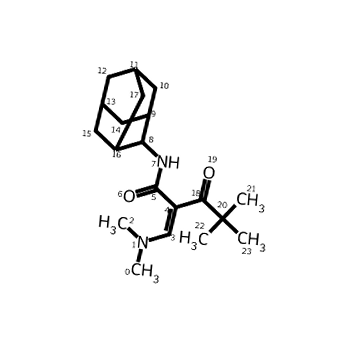 CN(C)/C=C(\C(=O)NC1C2CC3CC(C2)CC1C3)C(=O)C(C)(C)C